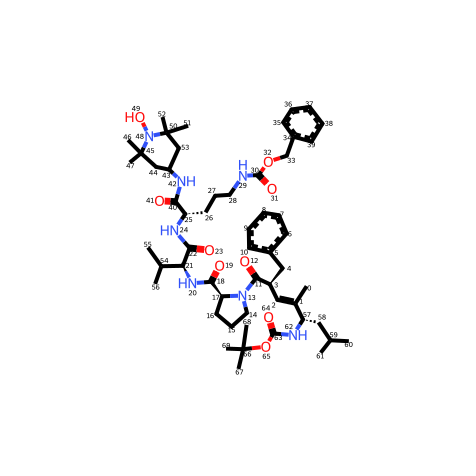 C/C(=C\[C@H](Cc1ccccc1)C(=O)N1CCC[C@H]1C(=O)N[C@H](C(=O)N[C@@H](CCCNC(=O)OCc1ccccc1)C(=O)NC1CC(C)(C)N(O)C(C)(C)C1)C(C)C)[C@H](CC(C)C)NC(=O)OC(C)(C)C